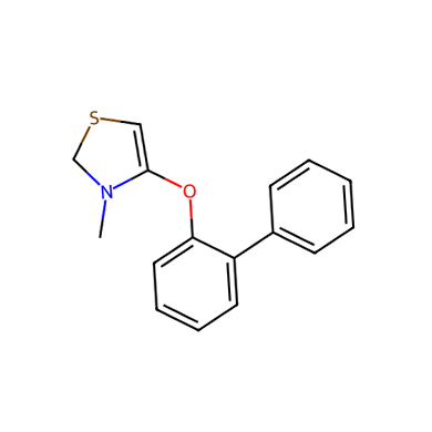 CN1CSC=C1Oc1ccccc1-c1ccccc1